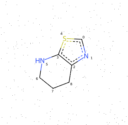 c1nc2c(s1)NCCC2